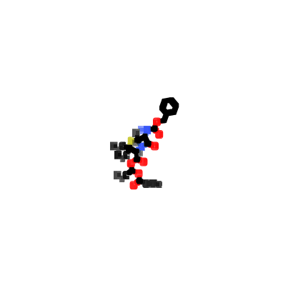 COC(=O)OC(C)OC(=O)[C@@H]1N2C(=O)C(NC(=O)OCc3ccccc3)[C@H]2SC1(C)C